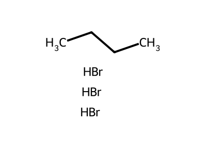 Br.Br.Br.CCCC